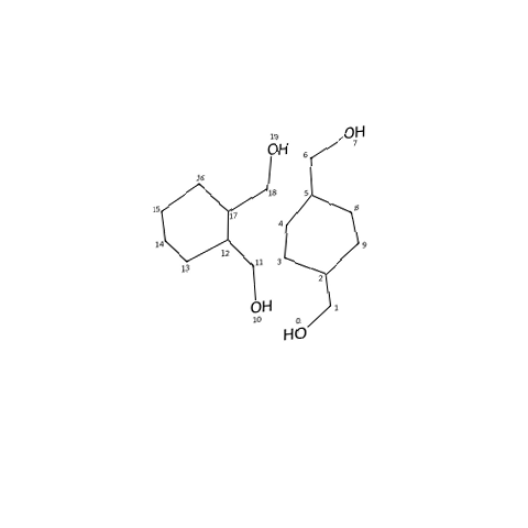 OCC1CCC(CO)CC1.OCC1CCCCC1CO